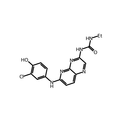 CCNC(=O)Nc1cnc2ccc(Nc3ccc(O)c(Cl)c3)nc2n1